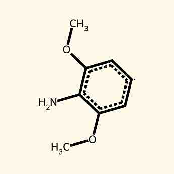 COc1c[c]cc(OC)c1N